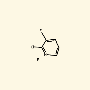 Fc1cccnc1Cl.[K]